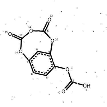 O=C(O)Oc1ccc2cc1OC(=O)OC(=O)O2